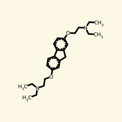 CCN(CC)CCOc1ccc2c(c1)Cc1cc(OCCN(CC)CC)ccc1-2